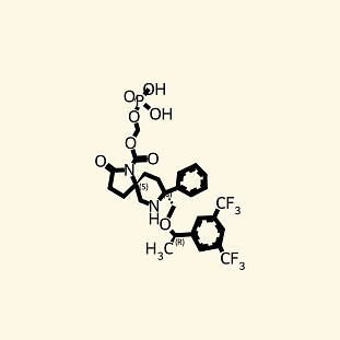 C[C@@H](OC[C@@]1(c2ccccc2)CC[C@]2(CCC(=O)N2C(=O)OCOP(=O)(O)O)CN1)c1cc(C(F)(F)F)cc(C(F)(F)F)c1